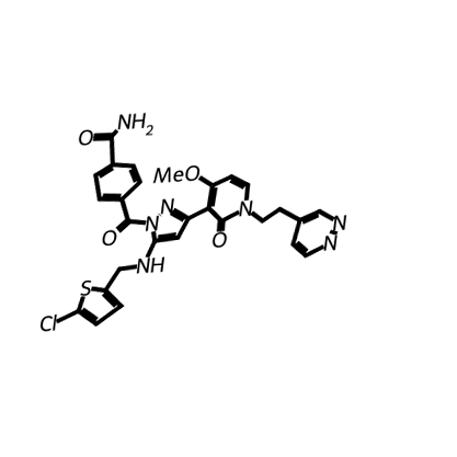 COc1ccn(CCc2ccnnc2)c(=O)c1-c1cc(NCc2ccc(Cl)s2)n(C(=O)c2ccc(C(N)=O)cc2)n1